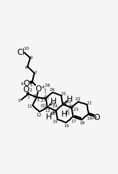 CC(=O)[C@@]1(OC(=O)CCCCl)CC[C@H]2[C@@H]3CCC4=CC(=O)CC[C@@H]4[C@H]3CC[C@@]21C